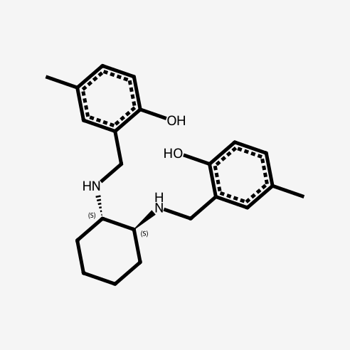 Cc1ccc(O)c(CN[C@H]2CCCC[C@@H]2NCc2cc(C)ccc2O)c1